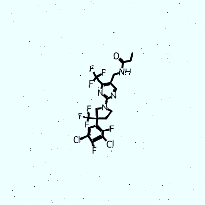 CCC(=O)NCc1cnc(N2CCC(c3cc(Cl)c(F)c(Cl)c3F)(C(F)(F)F)C2)nc1C(F)(F)F